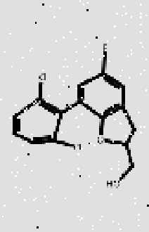 OCC1Cc2cc(F)cc(-c3c(Cl)cccc3Cl)c2O1